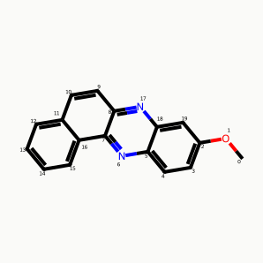 COc1ccc2nc3c(ccc4ccccc43)nc2c1